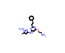 Cc1cc(Nc2cc(OCCN)nc(/C=C/c3ccccc3)n2)nn1N